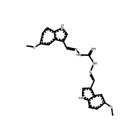 COc1ccc2[nH]cc(C=NNC(=N)NN=Cc3c[nH]c4ccc(OC)cc34)c2c1